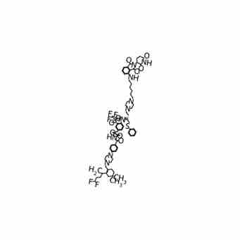 C=C(CCC(F)F)C1=C(CN2CCN(c3ccc(C(=O)NS(=O)(=O)c4ccc(N[C@H](CCN5CCN(CCCCCCNc6cccc7c6C(=O)N(C6CCC(=O)NC6=O)C7=O)CC5)CSc5ccccc5)c(S(=O)(=O)C(F)(F)F)c4)cc3)CC2)CCC(C)(C)C1